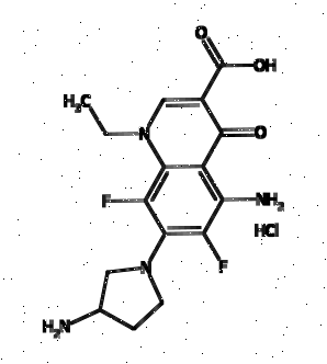 CCn1cc(C(=O)O)c(=O)c2c(N)c(F)c(N3CCC(N)C3)c(F)c21.Cl